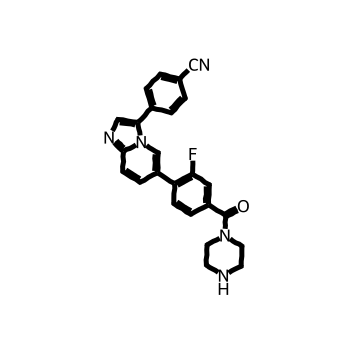 N#Cc1ccc(-c2cnc3ccc(-c4ccc(C(=O)N5CCNCC5)cc4F)cn23)cc1